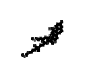 C[C@H]1CC2C3CCC4=CC(=O)C=C[C@]4(C)[C@@]3(F)[C@@H](O)C[C@]2(C)[C@@]1(OC(=O)CCCO[N+](=O)[O-])C(=O)COC(=O)CCNC(=O)CCCO[N+](=O)[O-]